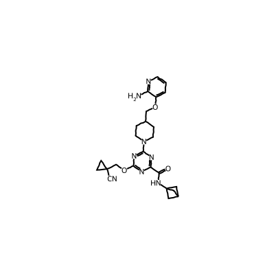 N#CC1(COc2nc(C(=O)NC34CC(C3)C4)nc(N3CCC(COc4cccnc4N)CC3)n2)CC1